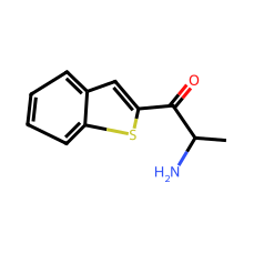 CC(N)C(=O)c1cc2ccccc2s1